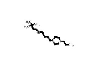 CCCN1CCN(CCCCNCCC(C)(C)C)CC1